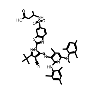 Cc1cc(C)c(Nc2nc(N(C)c3c(C)cc(C)cc3C)cc(C)c2N=Nc2c(C#N)c(C(C)(C)C)nn2-c2nc3ccc(S(=O)(=O)NC(C)CC(=O)O)cc3s2)c(C)c1